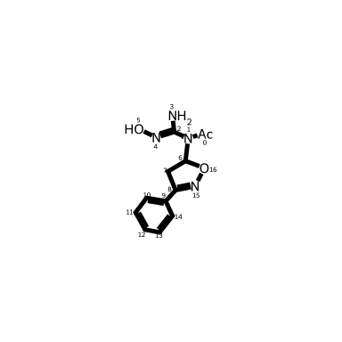 CC(=O)[N+](C(N)=NO)C1CC(c2ccccc2)=NO1